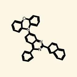 c1ccc(-c2nc(-c3ccc4ccccc4c3)nc3cc(N4c5ccccc5Oc5ccccc54)ccc23)cc1